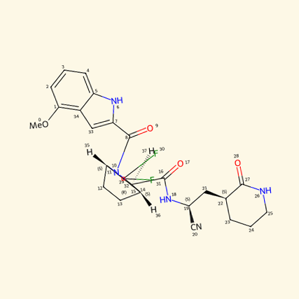 COc1cccc2[nH]c(C(=O)N3[C@H]4CC[C@@H]([C@@H]3C(=O)N[C@H](C#N)C[C@@H]3CCCNC3=O)C(F)(F)C4)cc12